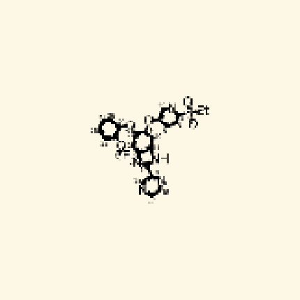 CCS(=O)(=O)c1ccc(Oc2cc3[nH]c(-c4cnccn4)nc3cc2Oc2ccccc2OC(F)(F)F)cn1